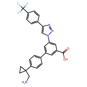 NCC1(c2ccc(-c3cc(C(=O)O)cc(-n4cc(-c5ccc(C(F)(F)F)cc5)nn4)c3)cc2)CC1